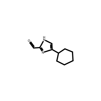 O=Cc1nc(C2CCCCC2)c[nH]1